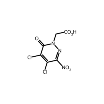 O=C(O)Cn1nc([N+](=O)[O-])c(Cl)c(Cl)c1=O